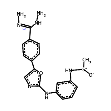 C[S+]([O-])Nc1cccc(Nc2ncc(-c3ccc(/C(=N/N)NN)cc3)o2)c1